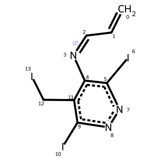 C=C/C=N\c1c(I)nnc(I)c1CI